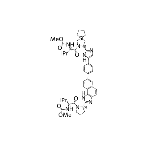 COC(=O)N[C@H](C(=O)N1C[Si]2(CCCC2)C[C@H]1c1ncc(-c2ccc(-c3ccc4c(ccc5nc([C@@H]6CCCN6C(=O)[C@@H](NC(=O)OC)C(C)C)[nH]c54)c3)cc2)[nH]1)C(C)C